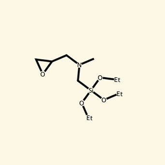 CCO[Si](CN(C)CC1CO1)(OCC)OCC